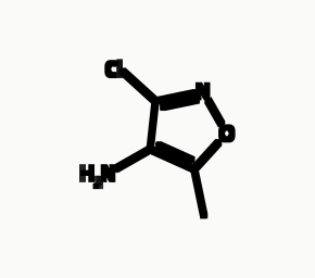 Cc1onc(Cl)c1N